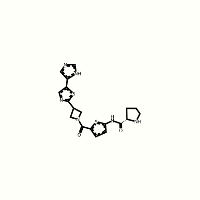 O=C(Nc1ccc(C(=O)N2CC(c3ncc(-c4cnc[nH]4)s3)C2)s1)[C@@H]1CCCN1